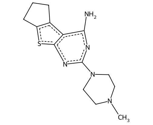 CN1CCN(c2nc(N)c3c4c(sc3n2)CCC4)CC1